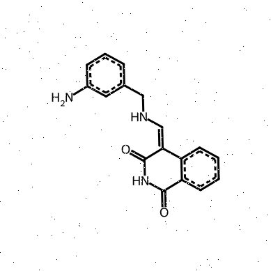 Nc1cccc(CNC=C2C(=O)NC(=O)c3ccccc32)c1